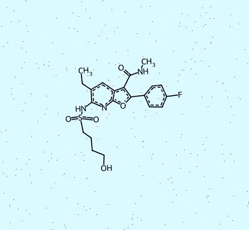 CCc1cc2c(C(=O)NC)c(-c3ccc(F)cc3)oc2nc1NS(=O)(=O)CCCCO